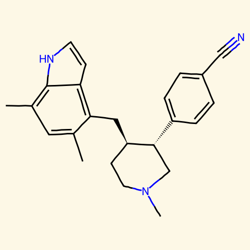 Cc1cc(C)c2[nH]ccc2c1C[C@@H]1CCN(C)C[C@H]1c1ccc(C#N)cc1